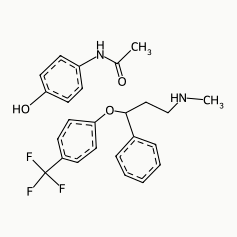 CC(=O)Nc1ccc(O)cc1.CNCCC(Oc1ccc(C(F)(F)F)cc1)c1ccccc1